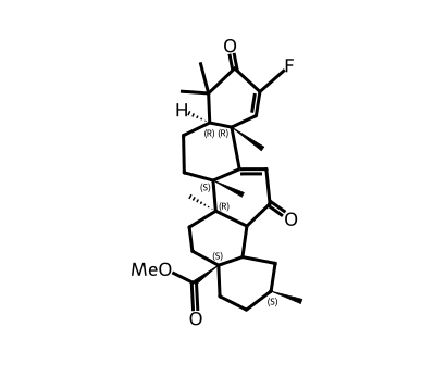 COC(=O)[C@]12CC[C@H](C)CC1C1C(=O)C=C3[C@@]4(C)C=C(F)C(=O)C(C)(C)[C@@H]4CC[C@@]3(C)[C@]1(C)CC2